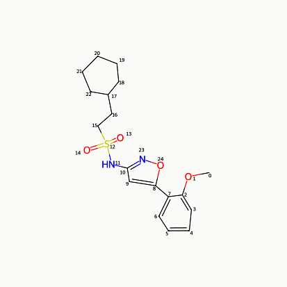 COc1ccccc1-c1cc(NS(=O)(=O)CCC2CCCCC2)no1